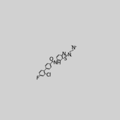 CN(C)CCN(C)c1nc2ccc(NC(=O)c3ccc(-c4ccc(F)cc4Cl)cc3)cc2s1